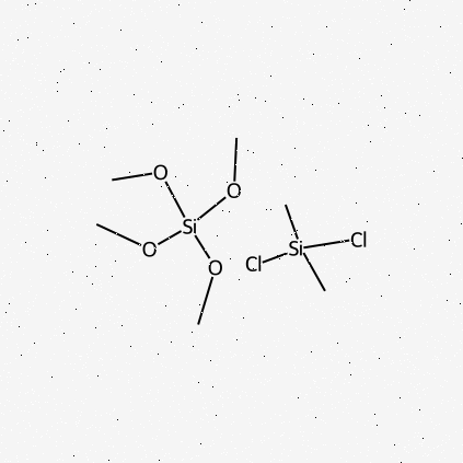 CO[Si](OC)(OC)OC.C[Si](C)(Cl)Cl